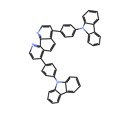 c1ccc2c(c1)c1ccccc1n2-c1ccc(-c2ccnc3c2ccc2c(-c4ccc(-n5c6ccccc6c6ccccc65)cc4)ccnc23)cc1